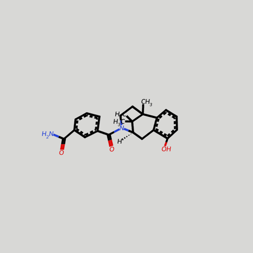 CC12CCN(C(=O)c3cccc(C(N)=O)c3)[C@H](Cc3c(O)cccc31)C2(C)C